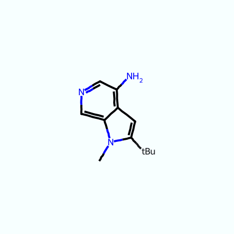 Cn1c(C(C)(C)C)cc2c(N)cncc21